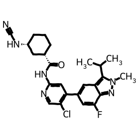 CC(C)c1c2cc(-c3cc(NC(=O)[C@H]4CCC[C@@H](NC#N)C4)ncc3Cl)cc(F)c2nn1C